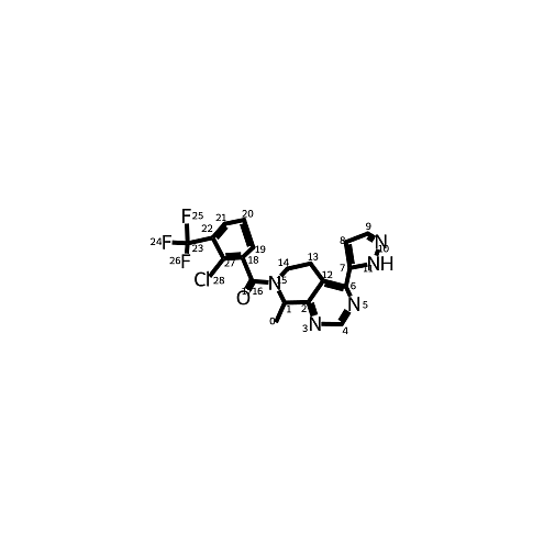 CC1c2ncnc(-c3ccn[nH]3)c2CCN1C(=O)c1cccc(C(F)(F)F)c1Cl